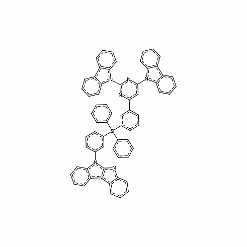 c1ccc([Si](c2ccccc2)(c2cccc(-c3cc(-n4c5ccccc5c5ccccc54)nc(-n4c5ccccc5c5ccccc54)n3)c2)c2cccc(-n3c4ccccc4n4c5ccccc5nc34)c2)cc1